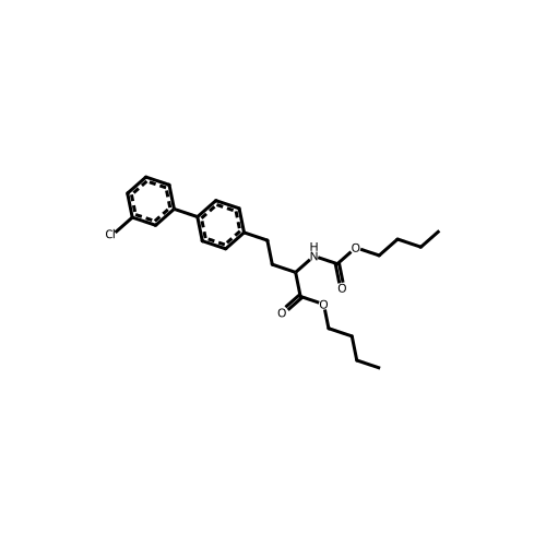 CCCCOC(=O)NC(CCc1ccc(-c2cccc(Cl)c2)cc1)C(=O)OCCCC